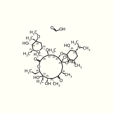 CC[C@H]1OC(=O)[C@H](C)[C@@H](O[C@H]2C[C@@](C)(OC)[C@@H](O)[C@H](C)O2)[C@H](C)[C@@H](O[C@@H]2O[C@H](C)C[C@H](N(C)C)[C@H]2O)[C@](C)(OC)C[C@@H](C)C(=O)[C@H](C)[C@@H](O)[C@]1(C)O.O=CO